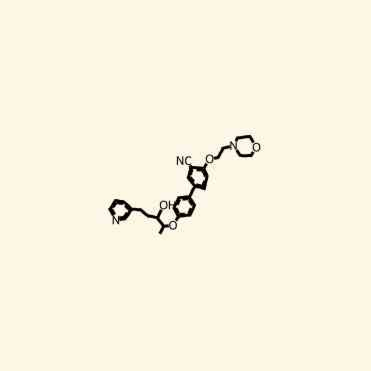 CC(Oc1ccc(-c2ccc(OCCN3CCOCC3)c(C#N)c2)cc1)C(O)CCc1cccnc1